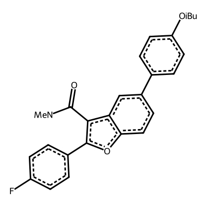 CNC(=O)c1c(-c2ccc(F)cc2)oc2ccc(-c3ccc(OCC(C)C)cc3)cc12